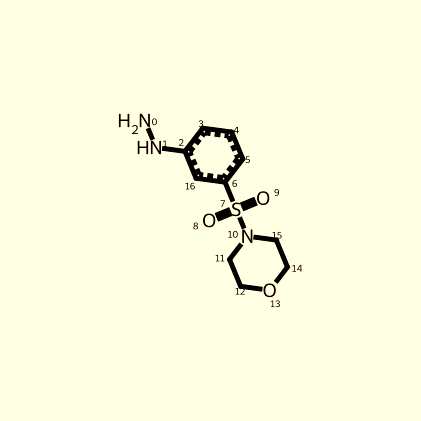 NNc1cccc(S(=O)(=O)N2CCOCC2)c1